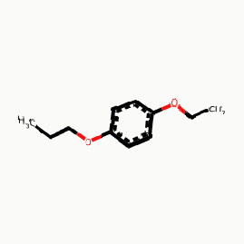 CCCOc1ccc(OCC)cc1